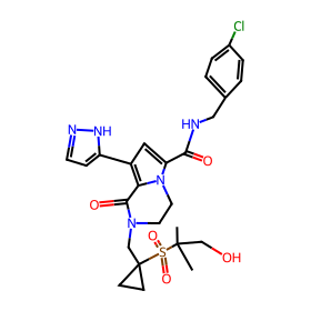 CC(C)(CO)S(=O)(=O)C1(CN2CCn3c(C(=O)NCc4ccc(Cl)cc4)cc(-c4ccn[nH]4)c3C2=O)CC1